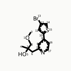 COCC(C)(O)Cc1cc(-c2cc(Br)cs2)ccn1